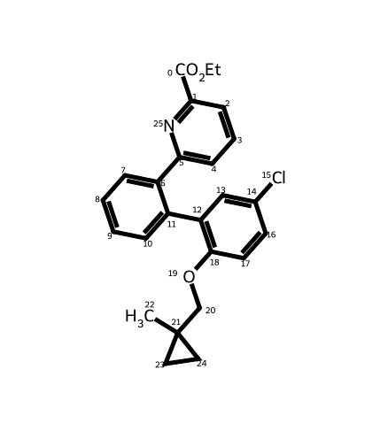 CCOC(=O)c1cccc(-c2ccccc2-c2cc(Cl)ccc2OCC2(C)CC2)n1